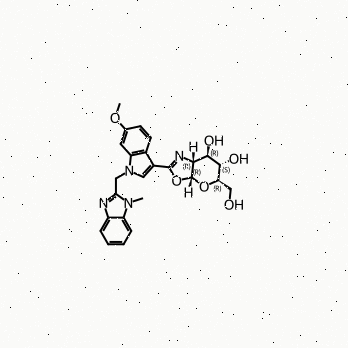 COc1ccc2c(C3=N[C@H]4[C@@H](O3)O[C@H](CO)[C@@H](O)[C@@H]4O)cn(Cc3nc4ccccc4n3C)c2c1